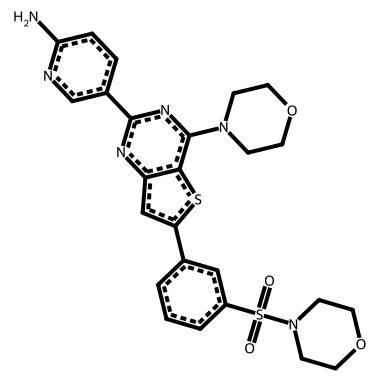 Nc1ccc(-c2nc(N3CCOCC3)c3sc(-c4cccc(S(=O)(=O)N5CCOCC5)c4)cc3n2)cn1